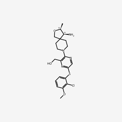 COc1cccc(Sc2cnc(N3CCC4(CC3)CO[C@@H](C)[C@H]4N)c(CO)n2)c1Cl